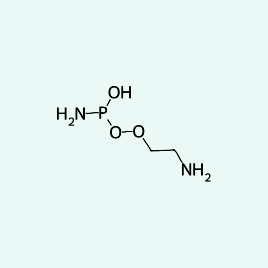 NCCOOP(N)O